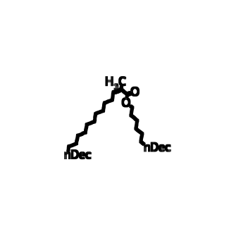 CCCCCCCCCCCCCCCCCCCCC=C(C)C(=O)OCCCCCCCCCCCCCCCC